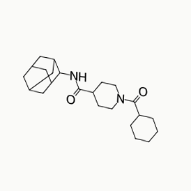 O=C(NC1C2CC3CC(C2)CC1C3)C1CCN(C(=O)C2CCCCC2)CC1